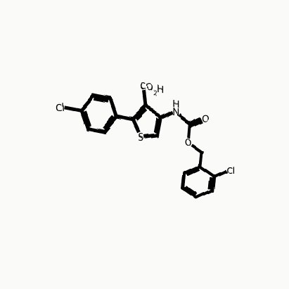 O=C(Nc1csc(-c2ccc(Cl)cc2)c1C(=O)O)OCc1ccccc1Cl